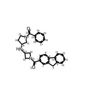 O=C(c1ccc2c(c1)Cc1ccccc1-2)N1CC(N[C@H]2CCN(C(=O)c3ccccc3)C2)C1